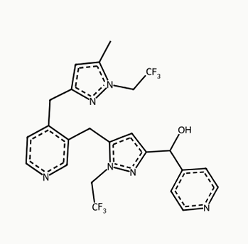 Cc1cc(Cc2ccncc2Cc2cc(C(O)c3ccncc3)nn2CC(F)(F)F)nn1CC(F)(F)F